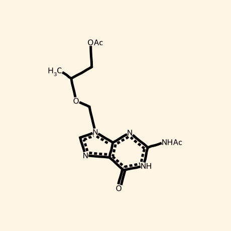 CC(=O)Nc1nc2c(ncn2COC(C)COC(C)=O)c(=O)[nH]1